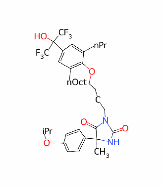 CCCCCCCCc1cc(C(O)(C(F)(F)F)C(F)(F)F)cc(CCC)c1OCCCCN1C(=O)NC(C)(c2ccc(OC(C)C)cc2)C1=O